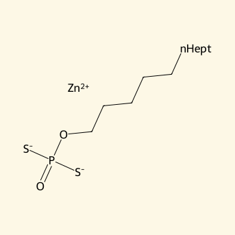 CCCCCCCCCCCCOP(=O)([S-])[S-].[Zn+2]